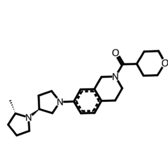 C[C@H]1CCCN1[C@H]1CCN(c2ccc3c(c2)CN(C(=O)C2CCOCC2)CC3)C1